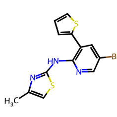 Cc1csc(Nc2ncc(Br)cc2-c2cccs2)n1